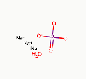 O.O=P([O-])([O-])[O-].[Na+].[Na+].[Na+]